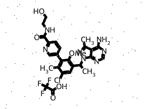 COc1c(C(C)n2nc(C)c3c(N)ncnc32)cc(Cl)c(C)c1-c1ccc(C(=O)NCCO)nc1.O=C(O)C(F)(F)F